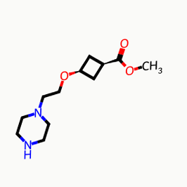 COC(=O)[C@H]1C[C@@H](OCCN2CCNCC2)C1